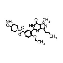 CCCc1nn(C)c2c(=O)[nH]c(-c3cc(S(=O)(=O)N4CCC(ON)CC4)ccc3OCC)nc12